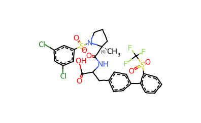 C[C@@]1(C(=O)NC(Cc2ccc(-c3ccccc3S(=O)(=O)C(F)(F)F)cc2)C(=O)O)CCCN1S(=O)(=O)c1cc(Cl)cc(Cl)c1